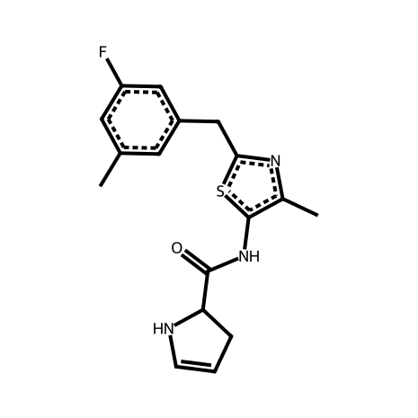 Cc1cc(F)cc(Cc2nc(C)c(NC(=O)C3CC=CN3)s2)c1